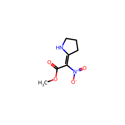 COC(=O)C(=C1CCCN1)[N+](=O)[O-]